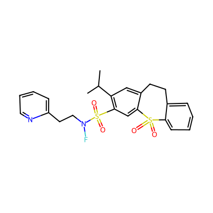 CC(C)c1cc2c(cc1S(=O)(=O)N(F)CCc1ccccn1)S(=O)(=O)c1ccccc1CC2